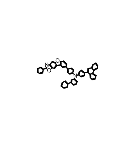 c1ccc(-c2cccc(N(c3ccc(-c4ccc5oc6cc7nc(-c8ccccc8)oc7cc6c5c4)cc3)c3ccc(-c4cc5ccccc5c5ccccc45)cc3)c2)cc1